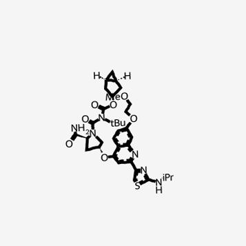 COCCOc1ccc2c(O[C@@H]3C[C@@H](C(N)=O)N(C(=O)N(C(=O)O[C@H]4C[C@@H]5C[C@@H]5C4)C(C)(C)C)C3)cc(-c3csc(NC(C)C)n3)nc2c1